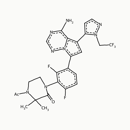 CC(=O)N1CCN(c2c(F)ccc(-c3cc(-c4ccnn4CC(F)(F)F)c4c(N)ncnn34)c2F)C(=O)C1(C)C